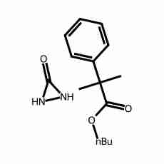 CCCCOC(=O)C(C)(C)c1ccccc1.O=C1NN1